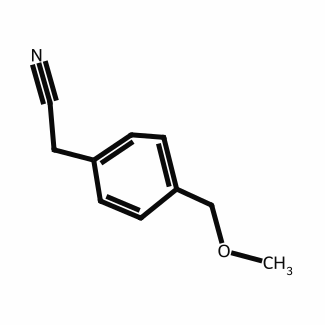 COCc1ccc(CC#N)cc1